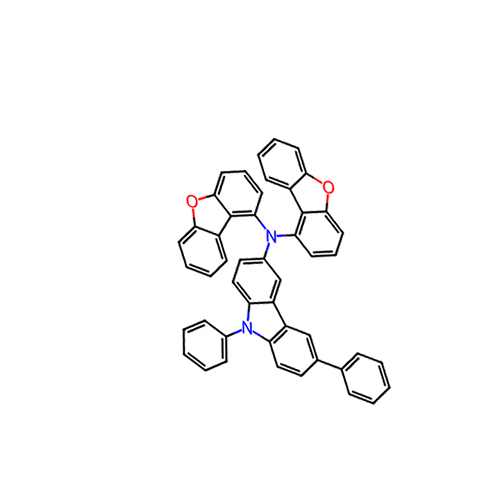 c1ccc(-c2ccc3c(c2)c2cc(N(c4cccc5oc6ccccc6c45)c4cccc5oc6ccccc6c45)ccc2n3-c2ccccc2)cc1